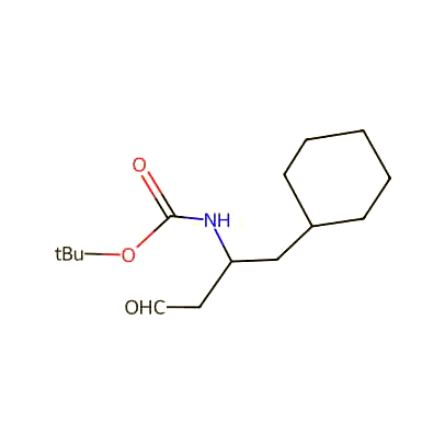 CC(C)(C)OC(=O)NC(CC=O)CC1CCCCC1